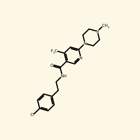 CN1CCN(c2cc(C(F)(F)F)c(C(=O)NCCc3ccc(Cl)cc3)cn2)CC1